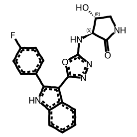 O=C1NC[C@@H](O)[C@@H]1Nc1nnc(-c2c(-c3ccc(F)cc3)[nH]c3ccccc23)o1